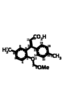 COCOc1ccc(C)cc1C(=CC(=O)O)c1ccc(C)cc1